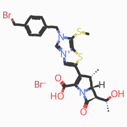 CSc1c2sc(C3=C(C(=O)O)N4C(=O)[C@H]([C@@H](C)O)[C@H]4[C@H]3C)c[n+]2cn1Cc1ccc(CBr)cc1.[Br-]